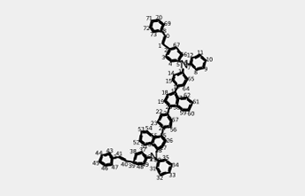 C(=Cc1ccc(N(c2ccccc2)c2ccc(-c3ccc(-c4ccc(-c5ccc(N(c6ccccc6)c6ccc(C=Cc7ccccc7)cc6)c6ccccc56)cc4)c4ccccc34)cc2)cc1)c1ccccc1